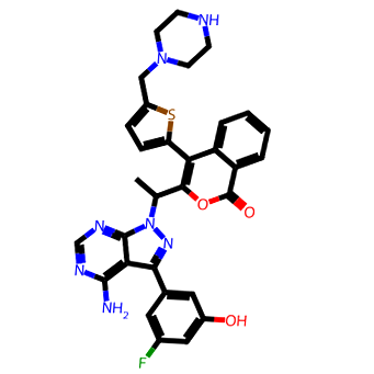 CC(c1oc(=O)c2ccccc2c1-c1ccc(CN2CCNCC2)s1)n1nc(-c2cc(O)cc(F)c2)c2c(N)ncnc21